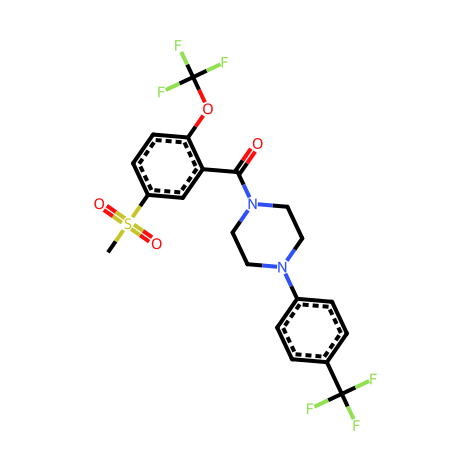 CS(=O)(=O)c1ccc(OC(F)(F)F)c(C(=O)N2CCN(c3ccc(C(F)(F)F)cc3)CC2)c1